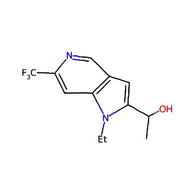 CCn1c(C(C)O)cc2cnc(C(F)(F)F)cc21